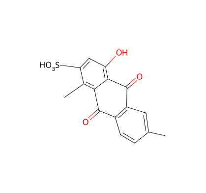 Cc1ccc2c(c1)C(=O)c1c(O)cc(S(=O)(=O)O)c(C)c1C2=O